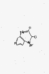 ClC1=Nc2cnccc2N(Br)C1Cl